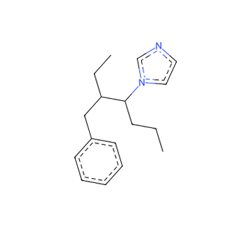 CCCC(C(CC)Cc1ccccc1)n1ccnc1